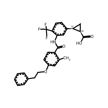 Cc1cc(OCCc2ccccc2)ccc1C(=O)Nc1cc([C@H]2C[C@H]2C(=O)O)ccc1C(F)(F)F